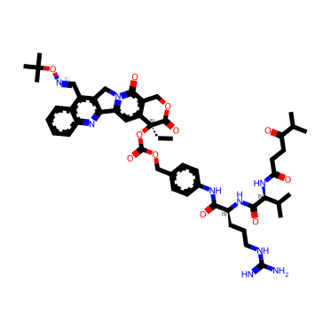 CC[C@@]1(OC(=O)OCc2ccc(NC(=O)[C@H](CCCNC(=N)N)NC(=O)[C@@H](NC(=O)CCC(=O)C(C)C)C(C)C)cc2)C(=O)OCc2c1cc1n(c2=O)Cc2c-1nc1ccccc1c2/C=N/OC(C)(C)C